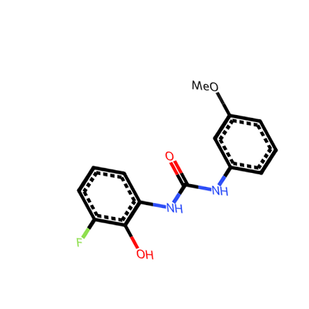 COc1cccc(NC(=O)Nc2cccc(F)c2O)c1